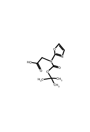 CC(C)(C)OC(=O)N(CC(=O)O)c1ncco1